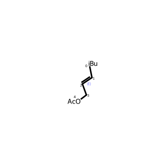 CCC(C)/C=C/COC(C)=O